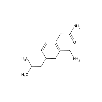 CC(C)Cc1ccc(CC(N)=O)c(CN)c1